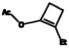 CCC1=C(OC(C)=O)CC1